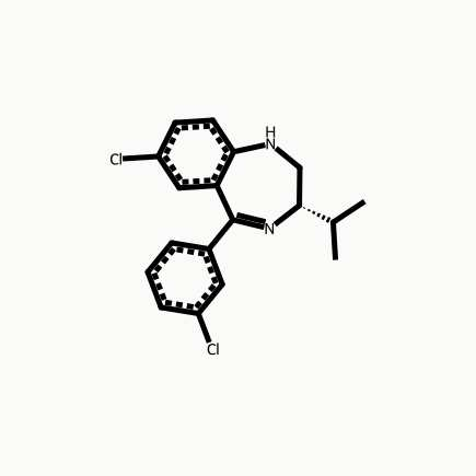 CC(C)[C@H]1CNc2ccc(Cl)cc2C(c2cccc(Cl)c2)=N1